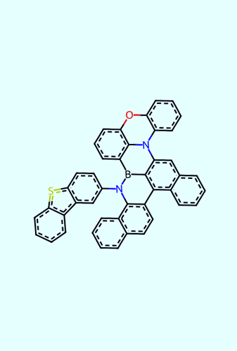 c1ccc2c(c1)Oc1cccc3c1N2c1cc2ccccc2c2c1B3N(c1ccc3sc4ccccc4c3c1)c1c-2ccc2ccccc12